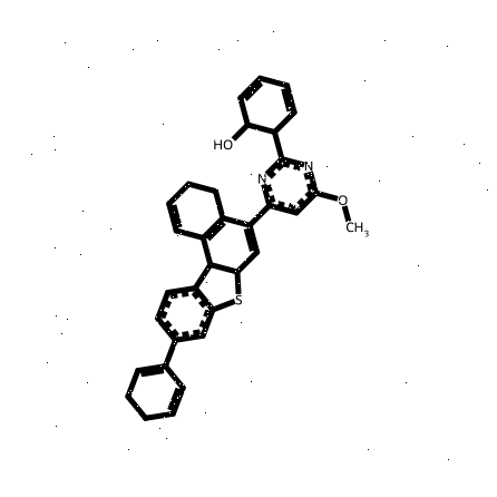 COc1cc(C2=CC3Sc4cc(C5=CCCC=C5)ccc4C3C3=C2CCC=C3)nc(C2C=CC=CC2O)n1